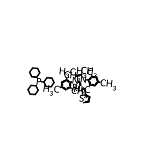 C1CCC(P(C2CCCCC2)C2CCCCC2)CC1.Cc1cc(C)c(-n2c(C)c(C)n(-c3c(C)cc(C)cc3C)[c]2=[Ru]=[CH]c2cccs2)c(C)c1